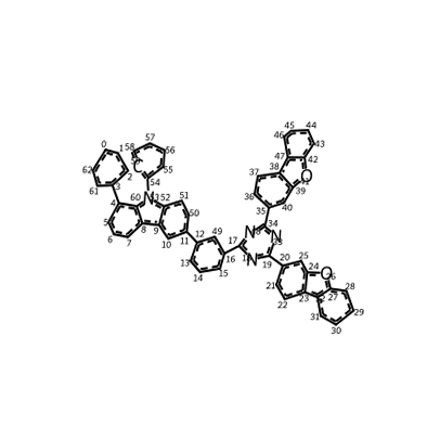 c1ccc(-c2cccc3c4cc(-c5cccc(-c6nc(-c7ccc8c(c7)oc7ccccc78)nc(-c7ccc8c(c7)oc7ccccc78)n6)c5)ccc4n(-c4ccccc4)c23)cc1